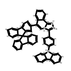 c1ccc2c(c1)-c1ccccc1C21c2ccccc2-c2ccc(-c3cn4c(-c5ccc(-n6c7ccccc7c7ccccc76)cc5)nnc4c4ccccc34)cc21